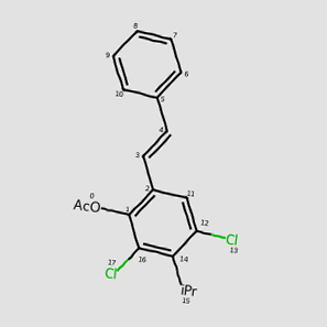 CC(=O)Oc1c(C=Cc2ccccc2)cc(Cl)c(C(C)C)c1Cl